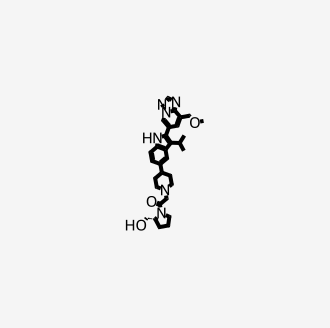 COCc1cc(-c2[nH]c3ccc(C4CCN(CC(=O)N5CCC[C@@H]5CO)CC4)cc3c2C(C)C)cn2ncnc12